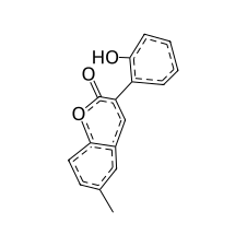 Cc1ccc2oc(=O)c(-c3ccccc3O)cc2c1